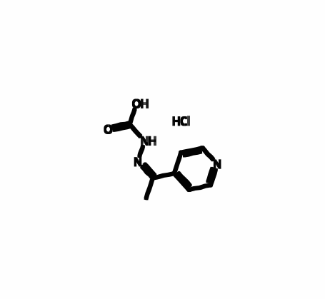 C/C(=N/NC(=O)O)c1ccncc1.Cl